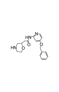 O=C(CC1CNCCO1)Nc1cc(OCc2ccccc2)ccn1